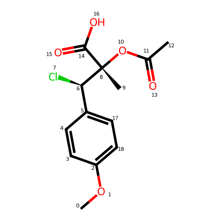 COc1ccc([C@@H](Cl)[C@@](C)(OC(C)=O)C(=O)O)cc1